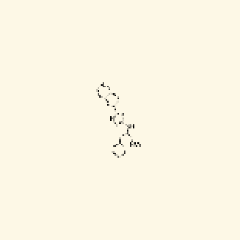 CNCC(Cc1ccccc1)Nc1nnc(-c2ccc3cnccc3c2)s1